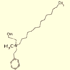 CCCCCCCCCCCCCC[N+](C)(CCO)CCc1ccccc1